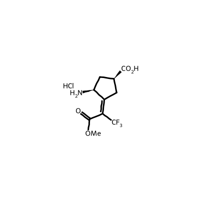 COC(=O)/C(=C1/C[C@H](C(=O)O)C[C@@H]1N)C(F)(F)F.Cl